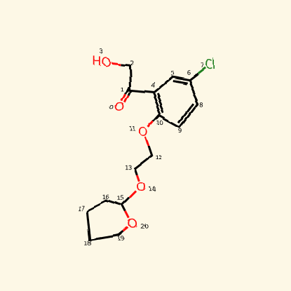 O=C(CO)c1cc(Cl)ccc1OCCOC1CCCCO1